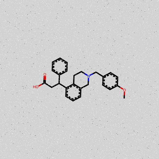 COc1ccc(CN2CCc3c(cccc3C(CC(=O)O)c3ccccc3)C2)cc1